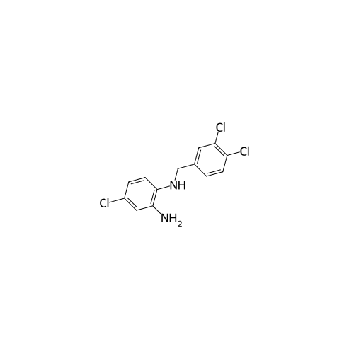 Nc1cc(Cl)ccc1NCc1ccc(Cl)c(Cl)c1